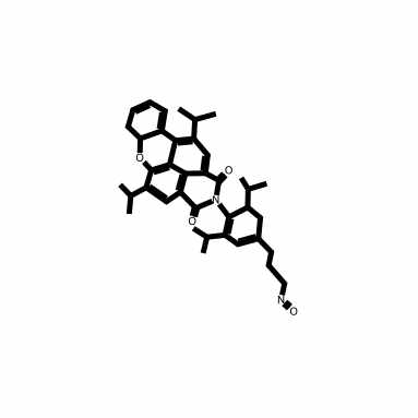 CC(C)C1=C(N2C(=O)c3cc(C(C)C)c4c5c(c(C(C)C)cc(c35)C2=O)C2=CC=CCC2O4)C(C(C)C)CC(CCCN=O)=C1